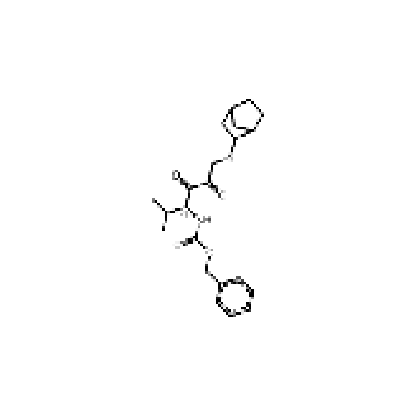 CC(C)[C@H](NC(=O)OCc1ccccc1)C(=O)C(=O)C[N]C1CC2CCC1C2